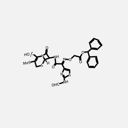 CSC1=C(C(=O)O)N2C(=O)C(NC(=O)C(=NOCC(=O)OC(c3ccccc3)c3ccccc3)c3csc(NC=O)n3)[C@@H]2SC1